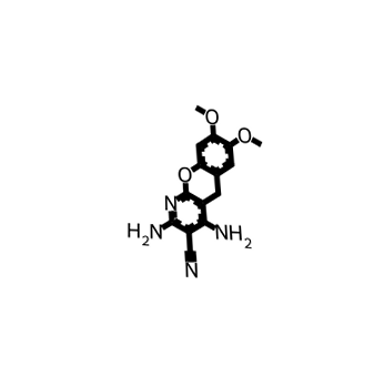 COc1cc2c(cc1OC)Oc1nc(N)c(C#N)c(N)c1C2